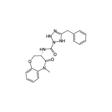 CN1C(=O)[C@@H](NC(=O)N2NN=C(Cc3ccccc3)N2)COc2ccccc21